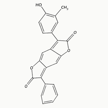 Cc1cc(C2=c3cc4c(cc3OC2=O)=C(c2ccccc2)C(=O)O4)ccc1O